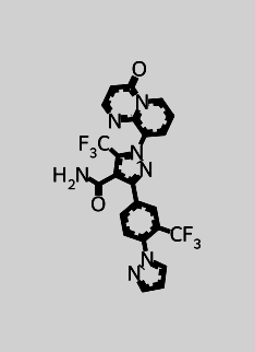 NC(=O)c1c(-c2ccc(-n3cccn3)c(C(F)(F)F)c2)nn(-c2cccn3c(=O)ccnc23)c1C(F)(F)F